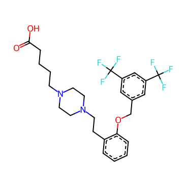 O=C(O)CCCCN1CCN(CCc2ccccc2OCc2cc(C(F)(F)F)cc(C(F)(F)F)c2)CC1